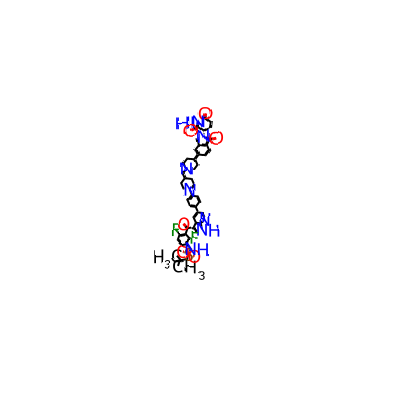 CC(C)CS(=O)(=O)Nc1ccc(F)c(C(=O)c2c[nH]c3ncc(-c4ccc(N5CCC(CN6CCC(c7ccc8c(c7)CN([C@H]7CCC(=O)NC7=O)C8=O)CC6)CC5)cc4)cc23)c1F